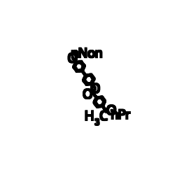 CCCCCCCCCOc1ccc(-c2ccc(OC(=O)c3ccc(C(C)OCCC)cc3)cc2)cc1